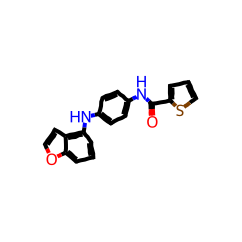 O=C(Nc1ccc(Nc2cccc3occc23)cc1)c1cccs1